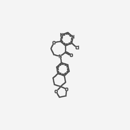 O=C1c2c(Cl)ncnc2OCCN1c1ccc2c(c1)CCC1(C2)OCCO1